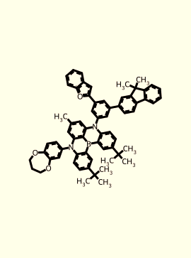 Cc1cc2c3c(c1)N(c1ccc4c(c1)OCCCO4)c1ccc(C(C)(C)C)cc1B3c1cc(C(C)(C)C)ccc1N2c1cc(-c2ccc3c(c2)C(C)(C)c2ccccc2-3)cc(-c2cc3ccccc3o2)c1